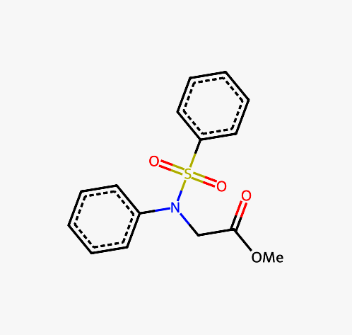 COC(=O)CN(c1ccccc1)S(=O)(=O)c1ccccc1